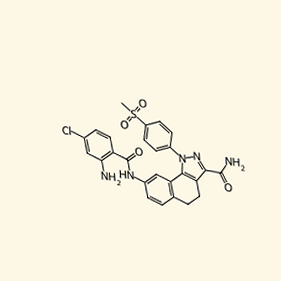 CS(=O)(=O)c1ccc(-n2nc(C(N)=O)c3c2-c2cc(NC(=O)c4ccc(Cl)cc4N)ccc2CC3)cc1